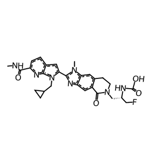 CNC(=O)c1ccc2cc(-c3nc4cc5c(cc4n3C)CCN(C[C@@H](CF)NC(=O)O)C5=O)n(CC3CC3)c2n1